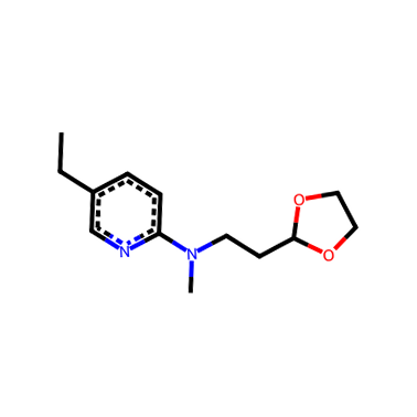 CCc1ccc(N(C)CCC2OCCO2)nc1